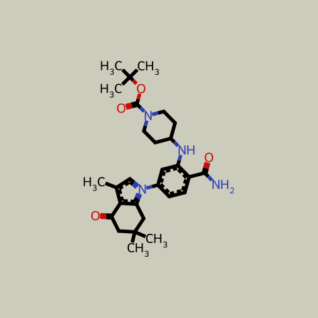 Cc1cn(-c2ccc(C(N)=O)c(NC3CCN(C(=O)OC(C)(C)C)CC3)c2)c2c1C(=O)CC(C)(C)C2